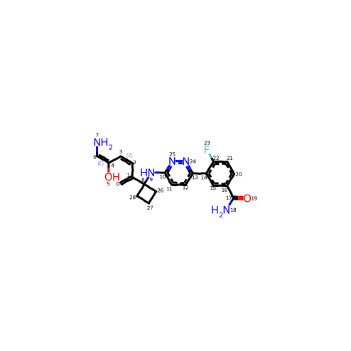 C=C(/C=C\C(O)=C/N)C1(Nc2ccc(-c3cc(C(N)=O)ccc3F)nn2)CCC1